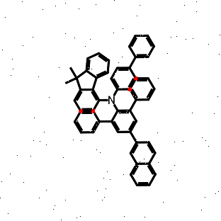 CC1(C)c2ccccc2-c2c(N(c3ccc(-c4ccccc4)cc3)c3c(-c4ccccc4)cc(-c4ccc5ccccc5c4)cc3-c3ccccc3)cccc21